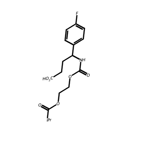 CC(C)C(=O)OCCOC(=O)NC(CCC(=O)O)c1ccc(F)cc1